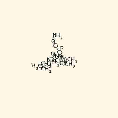 C[C@@H]1CN(c2cc(F)c(-c3ccc(OCCN)cc3)cc2NC(=O)c2cnc(OCC[Si](C)(C)C)cc2C(F)(F)F)C[C@H](C)N1C